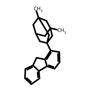 CC12CC3CC(C)(C1)CC(c1cccc4c1Cc1ccccc1-4)(C3)C2